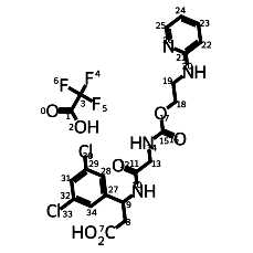 O=C(O)C(F)(F)F.O=C(O)CC(NC(=O)CNC(=O)OCCNc1ccccn1)c1cc(Cl)cc(Cl)c1